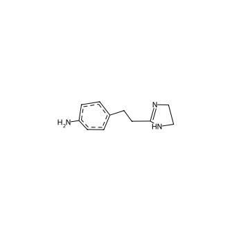 Nc1ccc(CCC2=NCCN2)cc1